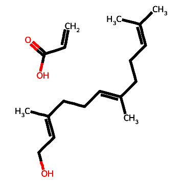 C=CC(=O)O.CC(C)=CCCC(C)=CCCC(C)=CCO